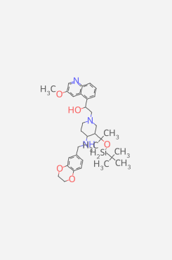 COc1cnc2cccc(C(O)CN3CCC(NCc4ccc5c(c4)OCCO5)C(C(C)(C)O[SiH2]C(C)(C)C)C3)c2c1